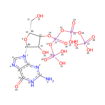 Nc1nc2c(ncn2[C@@H]2O[C@H](CO)C(OP(=O)(OP(=O)(O)O)OP(=O)(O)OP(=O)(O)O)C2O)c(=O)[nH]1